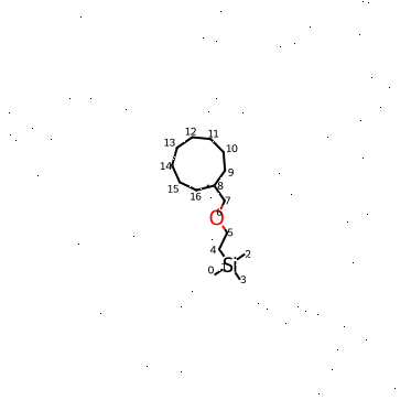 C[Si](C)(C)CCOC[C]1CCCCCCCC1